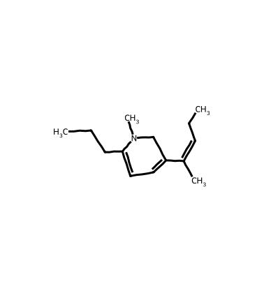 CC/C=C(/C)C1=CC=C(CCC)N(C)C1